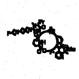 CCn1c(-c2cccnc2[C@H](C)OC)c2c3cc(ccc31)-c1csc(n1)C[C@H](NC(=O)C(C(C)C)N(C)C(=O)N1CC3(CC(N4CC(F)C4)C3)C1)C(=O)N1CCC[C@H](N1)C(=O)OCC(C)(C)C2